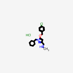 CNCc1cc(OCc2ccc(Cl)cc2)n(CC2CCCCC2)n1.Cl